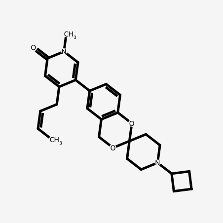 C/C=C\Cc1cc(=O)n(C)cc1-c1ccc2c(c1)COC1(CCN(C3CCC3)CC1)O2